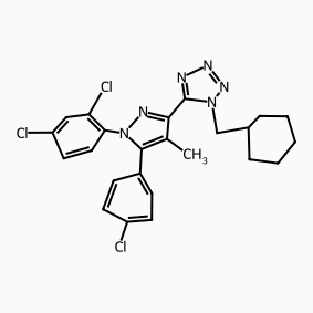 Cc1c(-c2nnnn2CC2CCCCC2)nn(-c2ccc(Cl)cc2Cl)c1-c1ccc(Cl)cc1